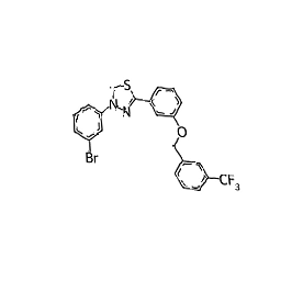 FC(F)(F)c1cccc(COc2cccc(C3=NN(c4cccc(Br)c4)[CH]S3)c2)c1